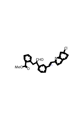 COC(=O)c1ccccc1CC(C=O)c1cccc(/C=C/c2ccc3ccc(Cl)cc3n2)c1